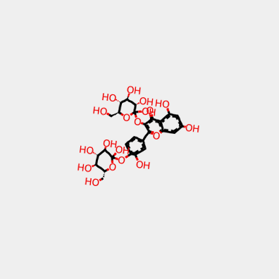 O=c1c(OC2(O)O[C@@H](CO)[C@H](O)[C@@H](O)[C@@H]2O)c(-c2ccc(OC3(O)O[C@H](CO)[C@@H](O)[C@H](O)[C@H]3O)c(O)c2)oc2cc(O)cc(O)c12